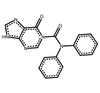 O=C(N(c1ccccc1)c1ccccc1)n1cnc2[nH]cnc2c1=O